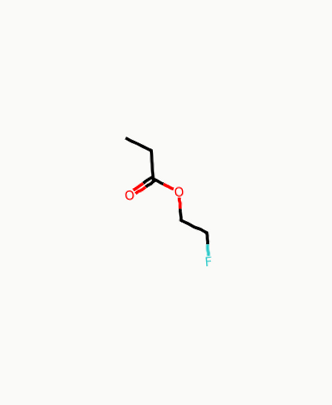 CCC(=O)OCCF